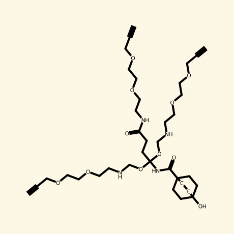 C#CCOCCOCCNCOC(CCC(=O)NCCOCCOCC#C)(NC(=O)C12CCC(O)(CC1)CC2)OCNCCOCCOCC#C